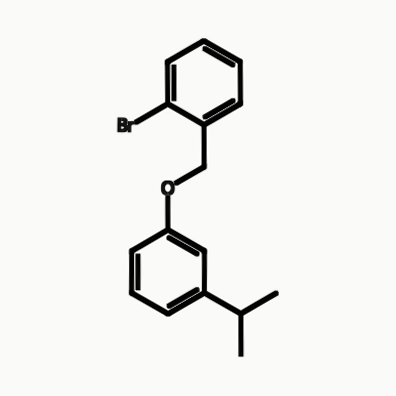 CC(C)c1cccc(OCc2ccccc2Br)c1